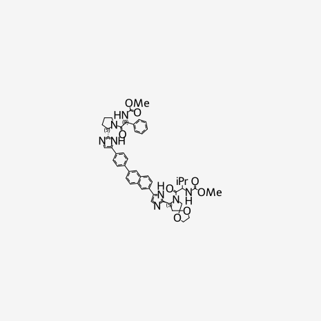 COC(=O)NC(C(=O)N1CC2(C[C@H]1c1ncc(-c3ccc4cc(-c5ccc(-c6cnc([C@@H]7CCCN7C(=O)[C@H](NC(=O)OC)c7ccccc7)[nH]6)cc5)ccc4c3)[nH]1)OCCO2)C(C)C